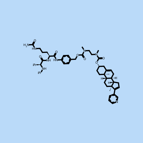 CC(C)N[C@H](C(=O)N[C@@H](CCCNC(N)=O)C(=O)Nc1ccc(COC(=O)N(C)CCN(C)C(=O)O[C@H]2CC[C@@]3(C)C(=CC[C@@H]4[C@@H]3CC[C@]3(C)C(c5cccnc5)=CC[C@@H]43)C2)cc1)C(C)C